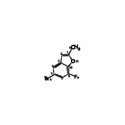 Cc1cc2cc(Br)cc(F)c2o1